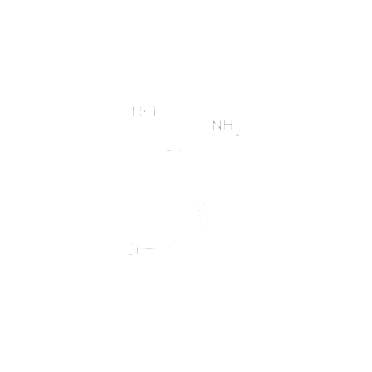 CCCN.C[Si](C)Cc1ccccc1.Cl